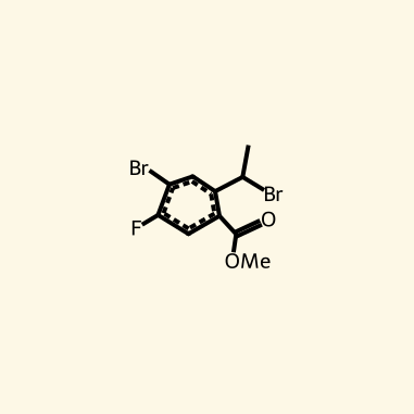 COC(=O)c1cc(F)c(Br)cc1C(C)Br